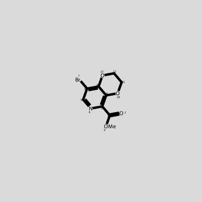 COC(=O)c1ncc(Br)c2c1OCCO2